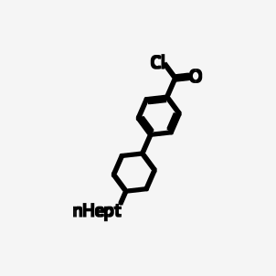 CCCCCCCC1CCC(c2ccc(C(=O)Cl)cc2)CC1